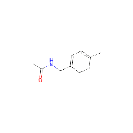 CC(=O)NCC1=CC=C(C)CC1